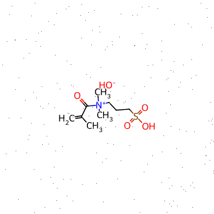 C=C(C)C(=O)[N+](C)(C)CCCS(=O)(=O)O.[OH-]